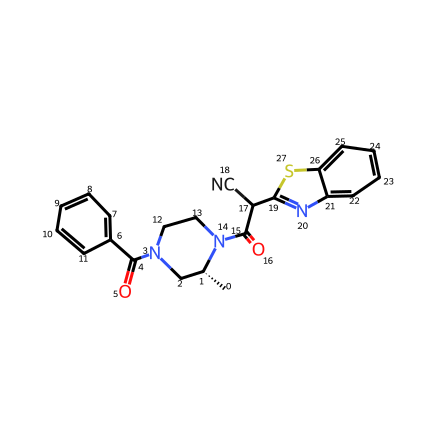 C[C@@H]1CN(C(=O)c2ccccc2)CCN1C(=O)C(C#N)c1nc2ccccc2s1